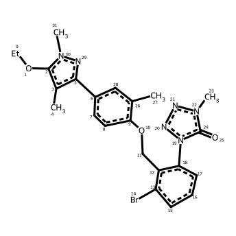 CCOc1c(C)c(-c2ccc(OCc3c(Br)cccc3-n3nnn(C)c3=O)c(C)c2)nn1C